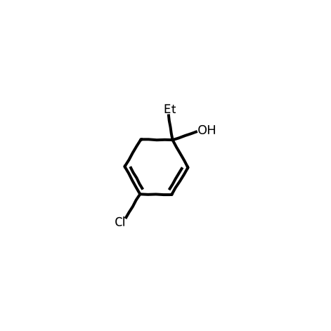 CCC1(O)C=CC(Cl)=CC1